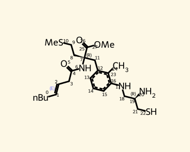 CCCC/C=C/CC(=O)N[C@@](CCSC)(Cc1cccc(NC[C@@H](N)CS)c1C)C(=O)OC